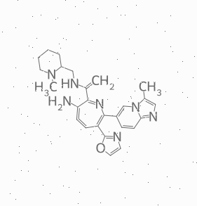 C=C(NCC1CCCCN1C)C1=NC(c2ccc3ncc(C)n3c2)=C(c2ncco2)C=C=C1N